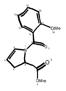 COC(=O)C1CC=CN1C(=O)c1ccccc1OC